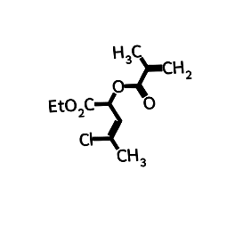 C=C(C)C(=O)OC(C=C(C)Cl)C(=O)OCC